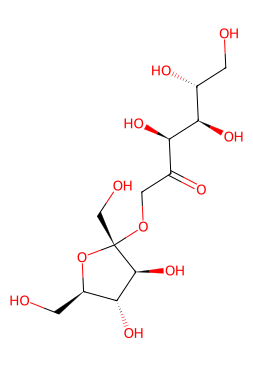 O=C(CO[C@@]1(CO)O[C@H](CO)[C@@H](O)[C@@H]1O)[C@@H](O)[C@H](O)[C@H](O)CO